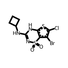 O=S1(=O)N=C(NC2CCC2)Nc2sc(Cl)c(Br)c21